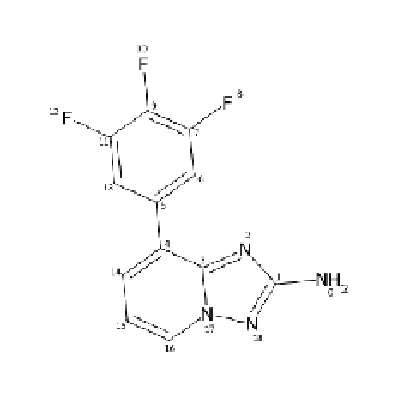 Nc1nc2c(-c3cc(F)c(F)c(F)c3)cccn2n1